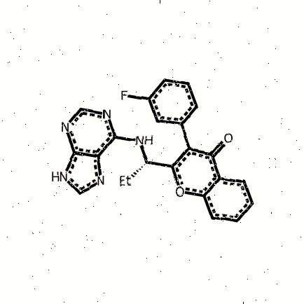 CC[C@H](Nc1ncnc2[nH]cnc12)c1oc2ccccc2c(=O)c1-c1cccc(F)c1